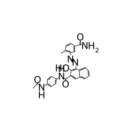 CC(=O)Nc1ccc(NC(=O)c2cc3ccccc3c(N=Nc3cc(C(N)=O)ccc3C)c2O)cc1